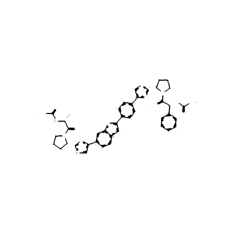 COC(=O)N[C@H](C(=O)N1CCC[C@H]1c1nc(-c2ccc3cc(-c4ccc(-c5cnc([C@@H]6CCCN6C(=O)[C@H](NC(=O)OC)c6ccccc6)[nH]5)cc4)sc3c2)c[nH]1)C(C)C